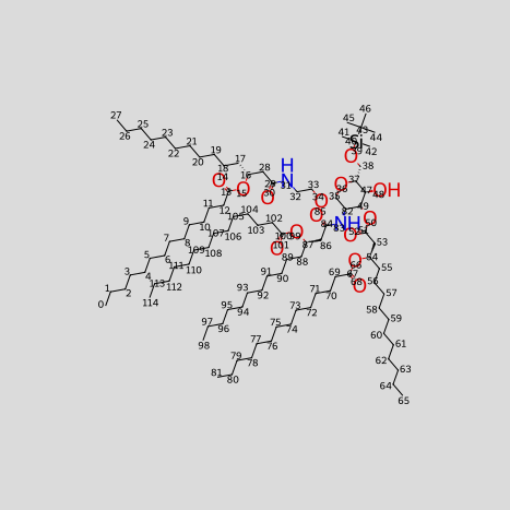 CCCCCCCCCCCCCC(=O)O[C@H](CCCCCCCCCCC)CC(=O)NCCO[C@@H]1O[C@H](CO[Si](C)(C)C(C)(C)C)[C@@H](O)[C@H](OC(=O)C[C@@H](CCCCCCCCCCC)OC(=O)CCCCCCCCCCCCC)[C@H]1NC(=O)C[C@@H](CCCCCCCCCCC)OC(=O)CCCCCCCCCCCCC